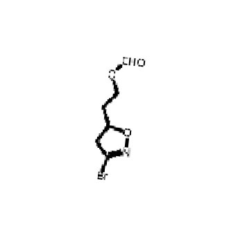 O=COCCC1CC(Br)=NO1